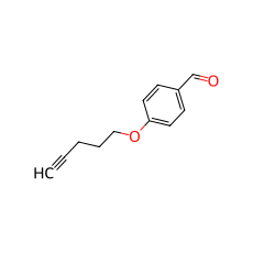 C#CCCCOc1ccc(C=O)cc1